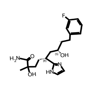 CC(O)(CC[C@H](C[C@@H](O)[CH]Cc1cccc(F)c1)c1ncc[nH]1)C(N)=O